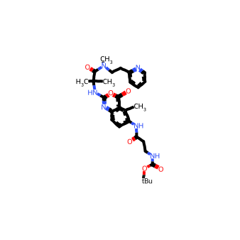 Cc1c(NC(=O)CCNC(=O)OC(C)(C)C)ccc2nc(NC(C)(C)C(=O)N(C)CCc3ccccn3)oc(=O)c12